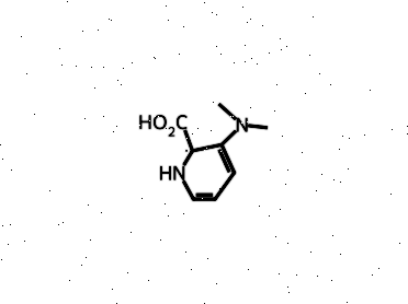 CN(C)C1=CC=CN[C]1C(=O)O